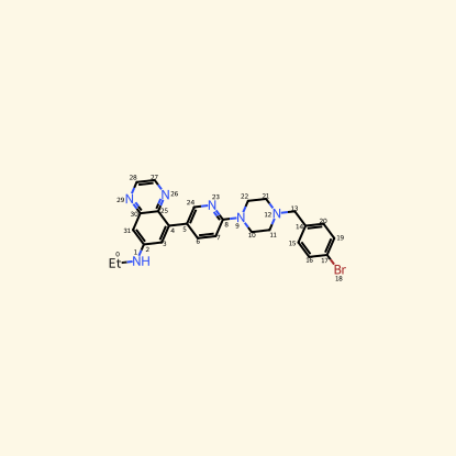 CCNc1cc(-c2ccc(N3CCN(Cc4ccc(Br)cc4)CC3)nc2)c2nccnc2c1